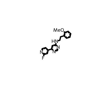 COc1ccccc1CCNc1cc(-c2ccnc(F)c2)ncn1